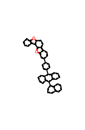 c1ccc2c(-c3c4ccccc4c(-c4ccc(-c5ccc6c(c5)oc5c6ccc6oc7ccccc7c65)cc4)c4ccccc34)cccc2c1